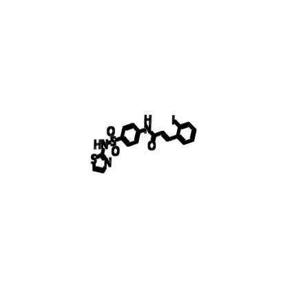 O=C(/C=C/c1ccccc1I)Nc1ccc(S(=O)(=O)Nc2nccs2)cc1